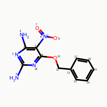 Nc1nc(N)c([N+](=O)[O-])c(OCc2ccccc2)n1